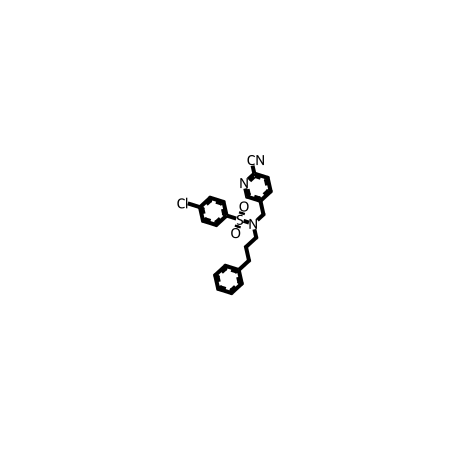 N#Cc1ccc(CN(CCCc2ccccc2)S(=O)(=O)c2ccc(Cl)cc2)cn1